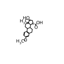 COc1ccc2c(c1)CCC1C2CC[C@@]2(C)C1[C@@H](C(=O)O)C[C@@H]2O